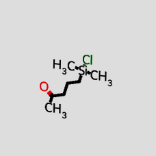 CC(=O)CCC[Si](C)(C)Cl